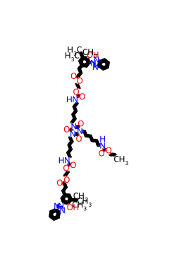 CCCOC(=O)NCCCCCCn1c(=O)n(CCCCCCNC(=O)OCCOC(=O)CCc2cc(-n3nc4ccccc4n3)c(O)c(C(C)(C)C)c2)c(=O)n(CCCCCCNC(=O)OCCOC(=O)CCc2cc(-n3nc4ccccc4n3)c(O)c(C(C)(C)C)c2)c1=O